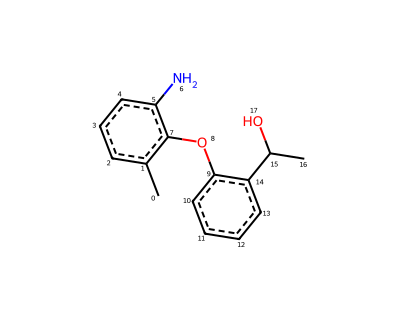 Cc1cccc(N)c1Oc1ccccc1C(C)O